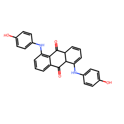 O=C1c2c(Nc3ccc(O)cc3)cccc2C(=O)C2C(Nc3ccc(O)cc3)=CC=CC12